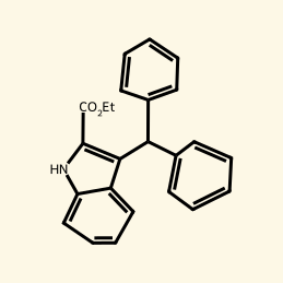 CCOC(=O)c1[nH]c2ccccc2c1C(c1ccccc1)c1ccccc1